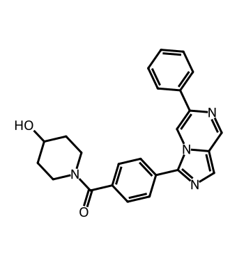 O=C(c1ccc(-c2ncc3cnc(-c4ccccc4)cn23)cc1)N1CCC(O)CC1